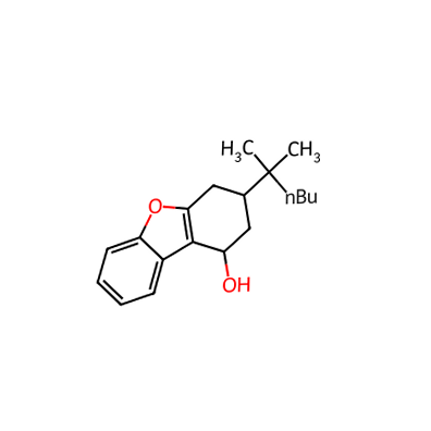 CCCCC(C)(C)C1Cc2oc3ccccc3c2C(O)C1